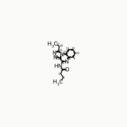 CCCC(=O)Nc1nc2ccccc2n2c(CC)nnc12